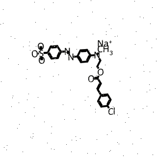 CN(CCOC(=O)C=Cc1ccc(Cl)cc1)c1ccc(N=Nc2ccc(S(=O)(=O)[O-])cc2)cc1.[Na+]